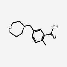 Cc1ccc(CN2CCCOCC2)cc1C(=O)O